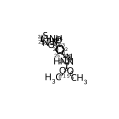 CCOC(OCC)c1nnc(-c2ccc(S(=O)(=O)Nc3nccs3)cc2)[nH]1